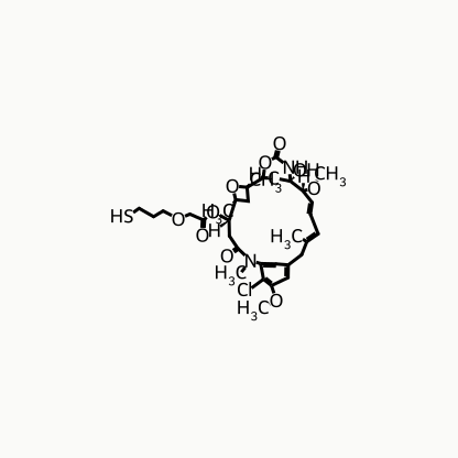 COc1cc2cc(c1Cl)N(C)C(=O)C[C@H](OC(=O)COCCCS)[C@@]1(C)CC(C)(O1)[C@@H]1C[C@@](O)(NC(=O)O1)[C@H](OC)/C=C/C=C(\C)C2